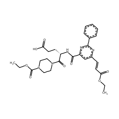 CCOC(=O)C=Cc1cc(C(=O)N[C@@H](CCC(=O)O)C(=O)N2CCN(C(=O)OCC)CC2)nc(-c2ccccc2)n1